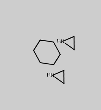 C1CCCCC1.C1CN1.C1CN1